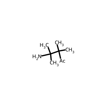 CC(=O)C(C)(C)C(C)(C)N